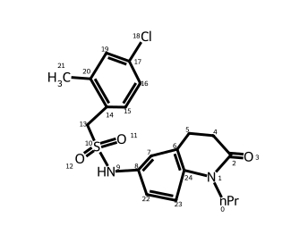 CCCN1C(=O)CCc2cc(NS(=O)(=O)Cc3ccc(Cl)cc3C)ccc21